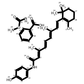 CC1=C(/C=C/C(C)=C/C=C/C(C)=C/C(=O)Nc2ccc(O)cc2)C(C)(C)CCC1.NOC(N)=O.O=C(O)c1ccccc1